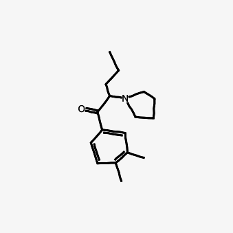 CCCC(C(=O)c1ccc(C)c(C)c1)N1CCCC1